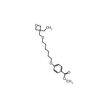 CCC1(COCCCCCCOc2ccc(C(=O)OC)cc2)COC1